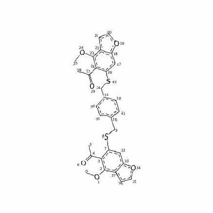 COc1c(C(C)=O)c(SCc2ccc(CSc3cc4occc4c(OC)c3C(C)=O)cc2)cc2occc12